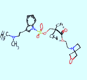 CN(C)CCc1cn(S(=O)(=O)OCC(C)(C)C(=O)OCCN2CCC23COC3)c2ccccc12